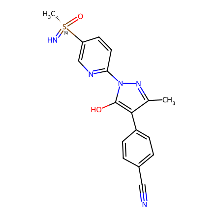 Cc1nn(-c2ccc([S@@](C)(=N)=O)cn2)c(O)c1-c1ccc(C#N)cc1